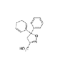 O=C(O)C1=NOC(C2=CCCC=C2)(c2ccccc2)C1